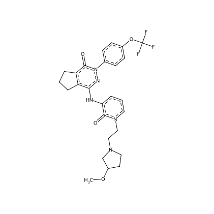 COC1CCN(CCn2cccc(Nc3nn(-c4ccc(OC(F)(F)F)cc4)c(=O)c4c3CCC4)c2=O)C1